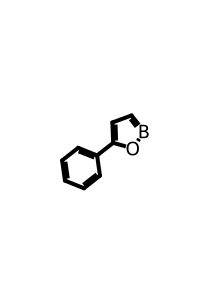 b1ccc(-c2ccccc2)o1